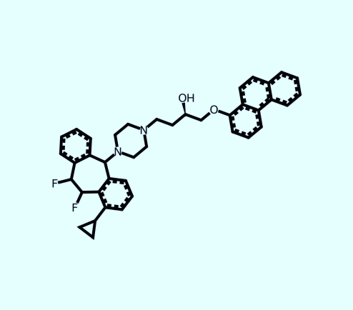 O[C@H](CCN1CCN(C2c3ccccc3C(F)C(F)c3c(C4CC4)cccc32)CC1)COc1cccc2c1ccc1ccccc12